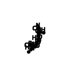 N#Cc1ccc(NC(=O)N(Cc2ccc(C(=O)NCCC(=O)OC(=O)CCNC(=O)c3ccc(CN(C(=O)Nc4ccc(Br)c(Cl)c4)c4ccc(C5CCCCC5)cc4)cc3)cc2)c2ccc(C3=CCCCC3)cc2)cc1Cl